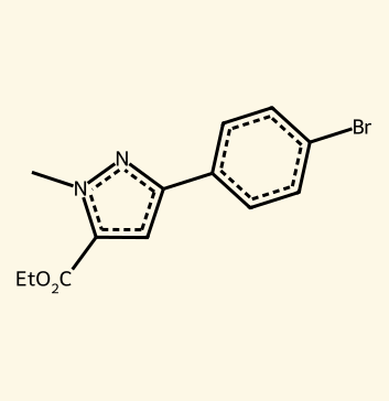 CCOC(=O)c1cc(-c2ccc(Br)cc2)nn1C